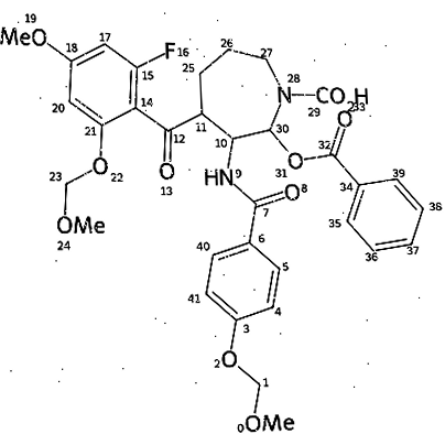 COCOc1ccc(C(=O)NC2C(C(=O)c3c(F)cc(OC)cc3OCOC)CCCN(C(=O)O)C2OC(=O)c2ccccc2)cc1